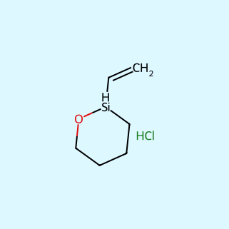 C=C[SiH]1CCCCO1.Cl